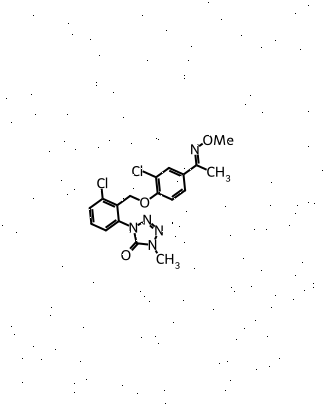 CON=C(C)c1ccc(OCc2c(Cl)cccc2-n2nnn(C)c2=O)c(Cl)c1